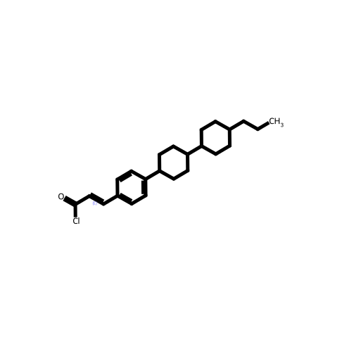 CCCC1CCC(C2CCC(c3ccc(/C=C/C(=O)Cl)cc3)CC2)CC1